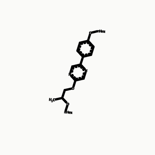 CCCCCCOc1ccc(-c2cnc(OCC(C)OCCCCCC)cn2)cc1